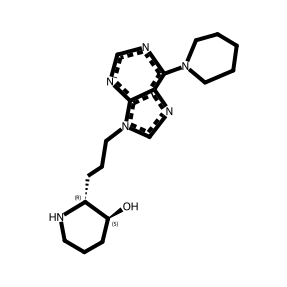 O[C@H]1CCCN[C@@H]1CCCn1cnc2c(N3CCCCC3)ncnc21